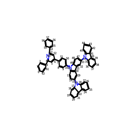 c1ccc(-c2cc(-c3ccc(-n4c5ccc(-n6c7ccccc7c7ccccc76)cc5c5cc(-n6c7ccccc7c7ccccc76)ccc54)cc3)cc(-c3ccccc3)n2)cc1